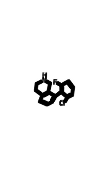 Fc1cccc(Cl)c1-c1cccc2c1CNCC2